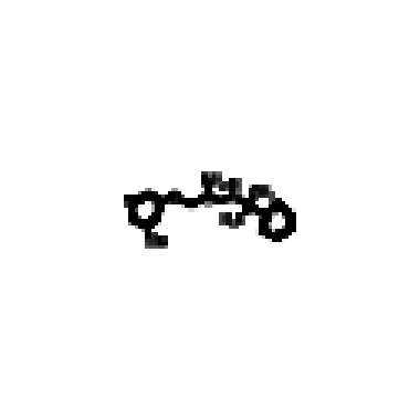 CC(C)(C)c1cncc(OC[C@@H](N)CNC(C)(C)c2ccccc2)c1